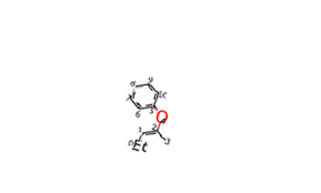 CCC=C(C)Oc1cc[c]cc1